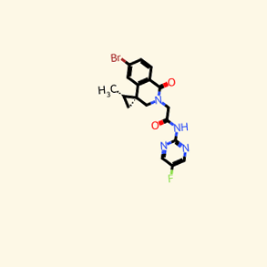 C[C@H]1C[C@]12CN(CC(=O)Nc1ncc(F)cn1)C(=O)c1ccc(Br)cc12